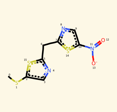 CSc1cnc(Cc2ncc([N+](=O)[O-])s2)s1